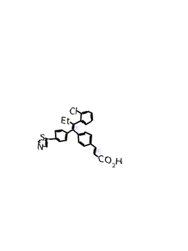 CC/C(=C(/c1ccc(/C=C/C(=O)O)cc1)c1ccc(-c2cncs2)cc1)c1ccccc1Cl